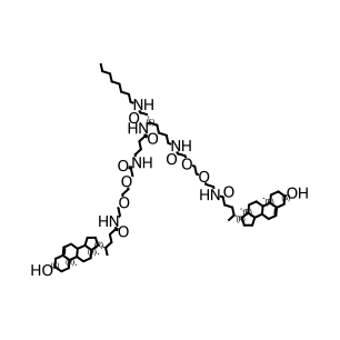 CCCCCCCCNC(=O)C[C@H](CCCCNC(=O)COCCOCCNC(=O)CCC(C)[C@H]1CCC2C3CC=C4C[C@@H](O)CC[C@]4(C)C3CC[C@@]21C)NC(=O)CCCNC(=O)COCCOCCNC(=O)CCC(C)[C@H]1CCC2C3CC=C4C[C@@H](O)CC[C@]4(C)C3CC[C@@]21C